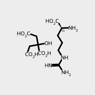 N=C(N)NCCC[C@H](N)C(=O)O.O=C(O)CC(O)(CC(=O)O)C(=O)O